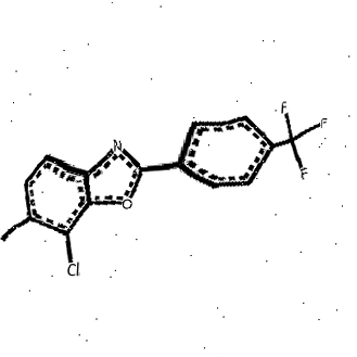 Cc1ccc2nc(-c3ccc(C(F)(F)F)cc3)oc2c1Cl